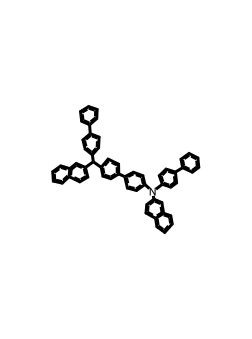 c1ccc(-c2ccc(C(c3ccc(-c4ccc(N(c5ccc(-c6ccccc6)cc5)c5ccc6ccccc6c5)cc4)cc3)c3ccc4ccccc4c3)cc2)cc1